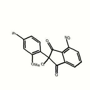 COc1cc(C(C)C)ccc1C1(Cl)C(=O)c2cccc(N=O)c2C1=O